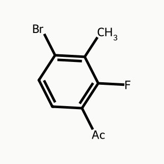 CC(=O)c1ccc(Br)c(C)c1F